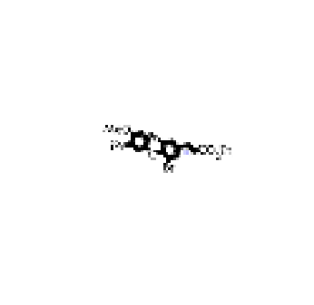 CCOC(=O)/C=C/c1cc(Br)c(Oc2ccc(OC)c(C(C)C)c2)c(Br)c1